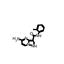 Cc1ccccc1NC(=O)C1=C2N=C(N)C=CN2NC1